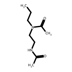 [CH2]CCN(CCNC(C)=O)C(C)=O